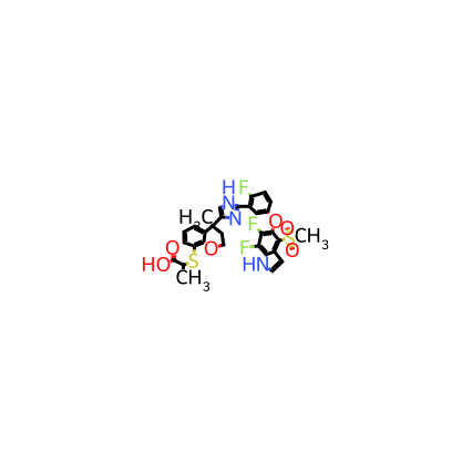 CC(Sc1cccc2c1OCCC2(C)c1c[nH]c(-c2cc(Oc3c(F)c(F)c4[nH]ccc4c3S(C)(=O)=O)ccc2F)n1)C(=O)O